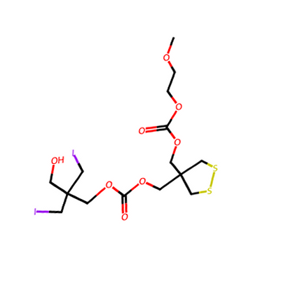 COCCOC(=O)OCC1(COC(=O)OCC(CO)(CI)CI)CSSC1